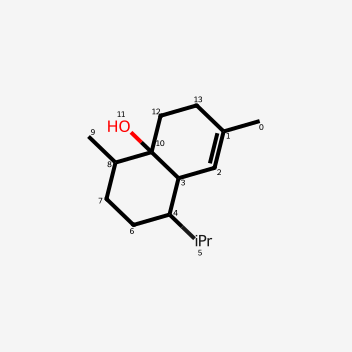 CC1=CC2C(C(C)C)CCC(C)C2(O)CC1